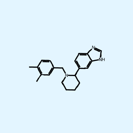 Cc1ccc(CN2CCCCC2c2ccc3nc[nH]c3c2)cc1C